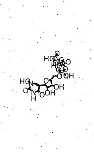 O=c1[nH]c(=O)n(O)cc1C1OC(COP(=O)(O)OP(=O)(O)OP(=O)(O)O)C(O)C1O